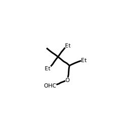 CCC(OC=O)C(C)(CC)CC